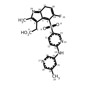 CC1=C(CC(=O)O)C2=C(S(=O)(=O)c3ccc(Nc4cncc(C)c4)nc3)C(F)=CCC2=N1